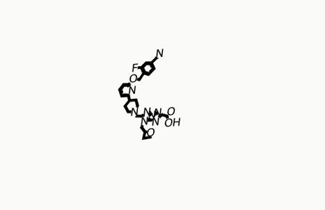 N#Cc1ccc(COc2cccc(C3CCN(Cc4nn5nc(C(=O)O)nc5n4CC4CCO4)CC3)n2)c(F)c1